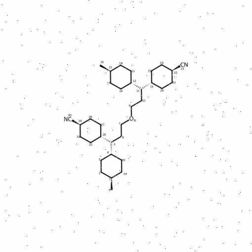 C[C@H]1CC[C@H](C(CCOCCC([C@H]2CC[C@H](C)CC2)[C@H]2CC[C@H](C#N)CC2)[C@H]2CC[C@H](C#N)CC2)CC1